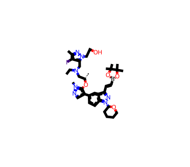 CCN(Cc1c(I)c(C)nn1CCO)C[C@H](C)Oc1c(-c2ccc3c(c2)c(/C=C/B2OC(C)(C)C(C)(C)O2)nn3C2CCCCO2)cnn1C